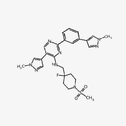 Cn1cc(-c2cccc(-c3ncc(-c4cnn(C)c4)c(NCC4(F)CCN(S(C)(=O)=O)CC4)n3)c2)cn1